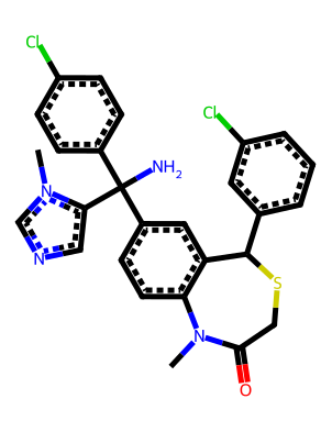 CN1C(=O)CSC(c2cccc(Cl)c2)c2cc(C(N)(c3ccc(Cl)cc3)c3cncn3C)ccc21